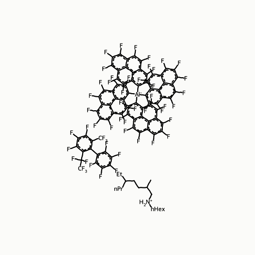 CCCCCC[NH2+]CC(C)CCC(CC)CCC.Fc1c(F)c(F)c(-c2c(C(F)(F)F)c(F)c(F)c(F)c2C(F)(F)C(F)(F)F)c(F)c1F.Fc1c(F)c2c(F)c(F)c3c(F)c(F)[c]([Al-]([c]4c(F)c(F)c5c(F)c(F)c6c(F)c(F)c(F)c7c(F)c(F)c4c5c67)([c]4c(F)c(F)c5c(F)c(F)c6c(F)c(F)c(F)c7c(F)c(F)c4c5c67)[c]4c(F)c(F)c5c(F)c(F)c6c(F)c(F)c(F)c7c(F)c(F)c4c5c67)c4c(F)c(F)c(c1F)c2c34